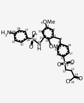 COc1cc(Cc2ccc(S(=O)(=O)CCC(=O)Cl)cc2)c(OC)c(NS(=O)(=O)c2ccc(N)cc2)c1